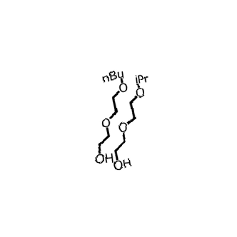 CC(C)OCCOCCO.CCCCOCCOCCO